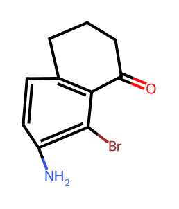 Nc1ccc2c(c1Br)C(=O)CCC2